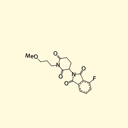 COCCCN1C(=O)CCC(N2C(=O)c3cccc(F)c3C2=O)C1=O